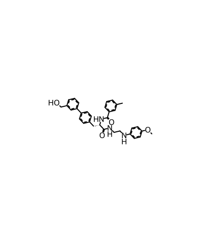 COc1ccc(NCCNC(=O)[C@H](Cc2ccc(-c3cccc(CO)c3)cc2)NC(=O)c2cccc(C)c2)cc1